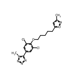 Cc1cc(CCCCCOc2c(Cl)cc(-c3nnnn3C)cc2Cl)on1